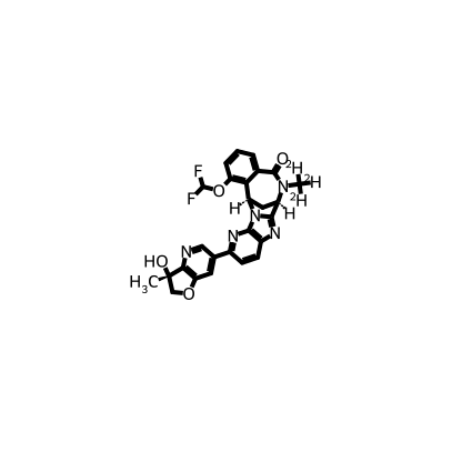 [2H]C([2H])([2H])N1C(=O)c2cccc(OC(F)F)c2[C@H]2C[C@@H]1c1nc3ccc(-c4cnc5c(c4)OC[C@]5(C)O)nc3n12